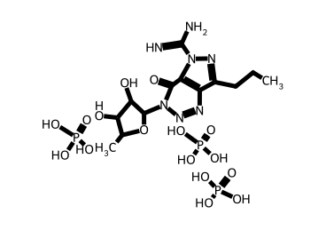 CCCc1nn(C(=N)N)c2c(=O)n(C3OC(C)C(O)C3O)nnc12.O=P(O)(O)O.O=P(O)(O)O.O=P(O)(O)O